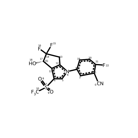 N#Cc1cc(-n2cc(S(=O)(=O)C(F)(F)F)c3c2CC(F)(F)[C@H]3O)ccc1F